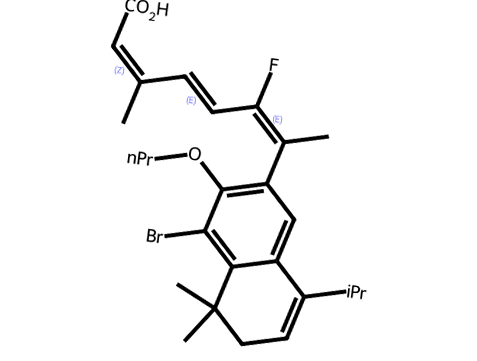 CCCOc1c(\C(C)=C(F)/C=C/C(C)=C\C(=O)O)cc2c(c1Br)C(C)(C)CC=C2C(C)C